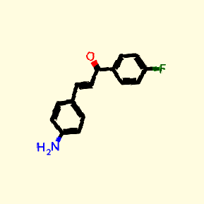 Nc1ccc(/C=C/C(=O)c2ccc(F)cc2)cc1